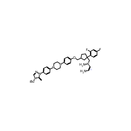 C=C1N(c2ccc(N3CCN(c4ccc(OCC5CCC(CN(N)/C=C\N)(c6ccc(F)cc6F)C5)cc4)CC3)cc2)N=CN1C(C)CC